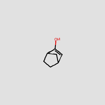 OC1=CC2CCC1C2